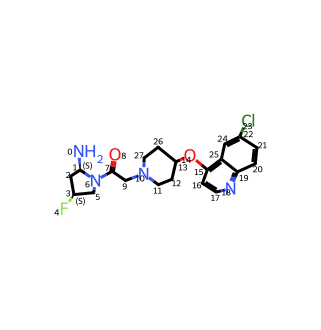 N[C@@H]1C[C@H](F)CN1C(=O)CN1CCC(Oc2ccnc3ccc(Cl)cc23)CC1